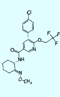 CO/N=C1\CCCC[C@@H]1NC(=O)c1cnc(OCC(F)(F)F)c(-c2ccc(Cl)cc2)c1